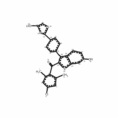 Cc1cc(Cl)cc(C)c1C(=O)c1sc2cc(O)ccc2c1-c1ccc(-c2nc(O)cs2)cc1